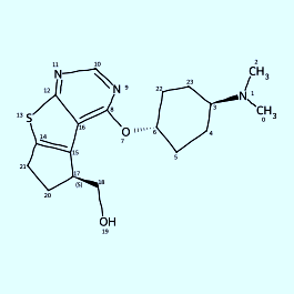 CN(C)[C@H]1CC[C@H](Oc2ncnc3sc4c(c23)[C@@H](CO)CC4)CC1